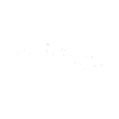 CC(=O)CCCCn1cc(NC(=O)OCc2ccc(C(F)(F)F)cc2)cn1